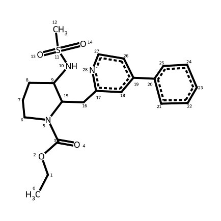 CCOC(=O)N1CCCC(NS(C)(=O)=O)C1Cc1cc(-c2ccccc2)ccn1